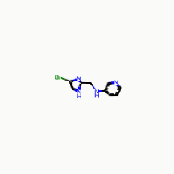 Brc1c[nH]c(CNc2cccnc2)n1